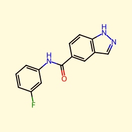 O=C(Nc1cccc(F)c1)c1ccc2[nH]ncc2c1